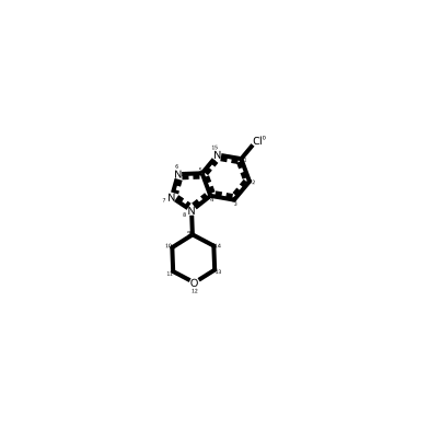 Clc1ccc2c(nnn2C2CCOCC2)n1